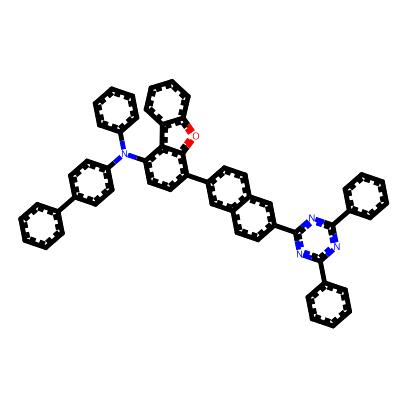 c1ccc(-c2ccc(N(c3ccccc3)c3ccc(-c4ccc5cc(-c6nc(-c7ccccc7)nc(-c7ccccc7)n6)ccc5c4)c4oc5ccccc5c34)cc2)cc1